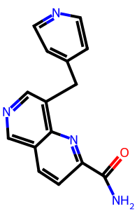 NC(=O)c1ccc2cncc(Cc3ccncc3)c2n1